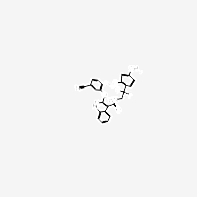 Cc1ccc(C(F)(F)CNC(=O)c2c(Oc3cccc(C#N)c3)nnc3ccccc23)c(C)c1